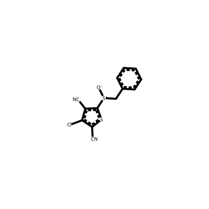 N#Cc1sc([S+]([O-])Cc2ccccc2)c(C#N)c1Cl